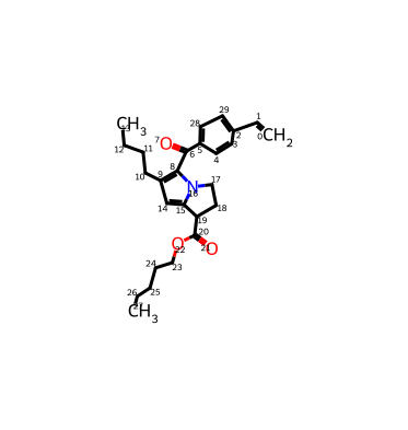 C=Cc1ccc(C(=O)c2c(CCCC)cc3n2CCC3C(=O)OCCCCC)cc1